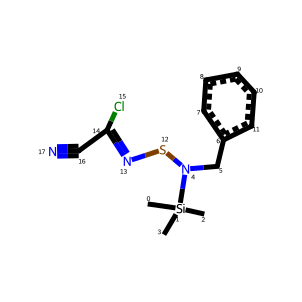 C[Si](C)(C)N(Cc1ccccc1)SN=C(Cl)C#N